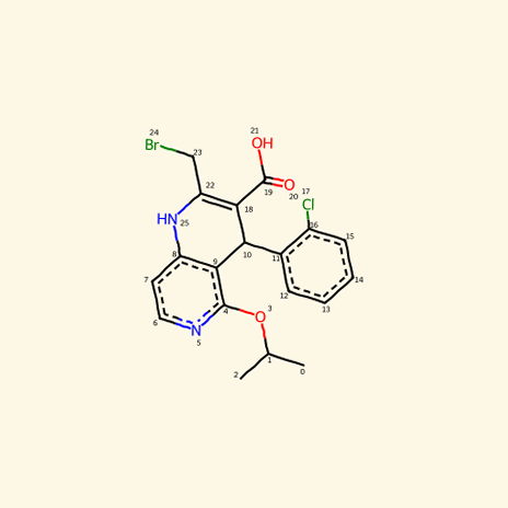 CC(C)Oc1nccc2c1C(c1ccccc1Cl)C(C(=O)O)=C(CBr)N2